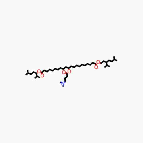 CC(C)CCC(CCOC(=O)CCCCCCCCCC(CCCCCCCCCC(=O)OC(CCC(C)C)C(C)C)OC(=O)CCCN(C)C)C(C)C